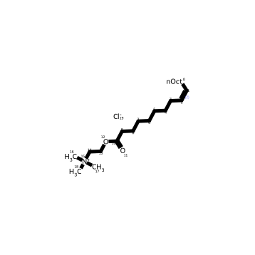 CCCCCCCC/C=C\CCCCCCCC(=O)OCC[N+](C)(C)C.[Cl-]